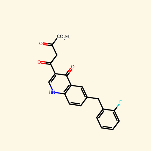 CCOC(=O)C(=O)CC(=O)c1c[nH]c2ccc(Cc3ccccc3F)cc2c1=O